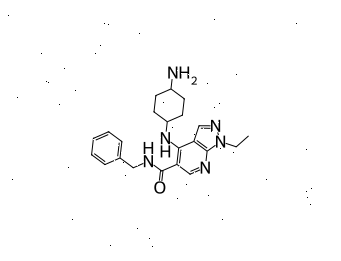 CCn1ncc2c(NC3CCC(N)CC3)c(C(=O)NCc3ccccc3)cnc21